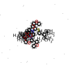 CC(C)(C)c1cc(-c2cccc(Oc3cc(-c4cccc5oc6ccccc6c45)cc(N(c4cccc(N(c5cc(Sc6cccc(-c7cc(C(C)(C)C)cc(C(C)(C)C)c7)c6)cc(-c6cccc7oc8ccccc8c67)c5)c5c(-c6ccccc6)cccc5-c5ccccc5)c4)c4cc(C(C)(C)C)cc(C(C)(C)C)c4)c3)c2)cc(C(C)(C)C)c1